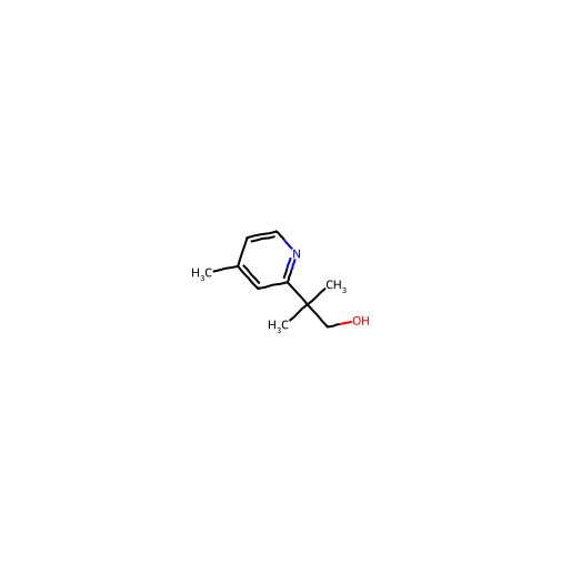 Cc1ccnc(C(C)(C)CO)c1